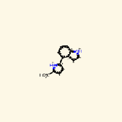 O=C(O)c1ccc(-c2cccc3[nH]ccc23)[nH]1